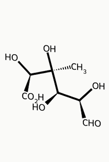 C[C@@](O)([C@H](O)C(=O)O)[C@H](O)[C@@H](O)C=O